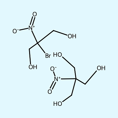 O=[N+]([O-])C(Br)(CO)CO.O=[N+]([O-])C(CO)(CO)CO